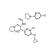 O=C(N[C@H](CN1CCCC1)[C@H](O)c1ccc(OC2CC2)c(Cl)c1)[C@@H]1CCN(c2ccc(Cl)cn2)C1